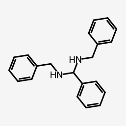 c1ccc(CNC(NCc2ccccc2)c2ccccc2)cc1